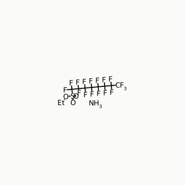 CCOS(=O)(=O)C(F)(F)C(F)(F)C(F)(F)C(F)(F)C(F)(F)C(F)(F)C(F)(F)C(F)(F)F.N